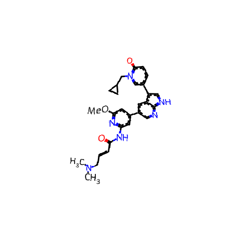 COc1cc(-c2cnc3[nH]cc(-c4ccc(=O)n(CC5CC5)c4)c3c2)cc(NC(=O)C=CCN(C)C)n1